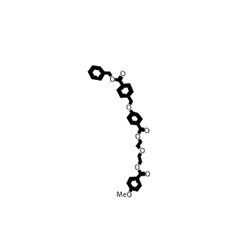 COc1ccc(C(=O)OCCOCCOC(=O)c2ccc(OCc3ccc(C(=O)OCc4ccccc4)cc3)cc2)cc1